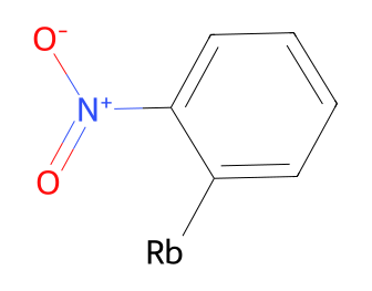 O=[N+]([O-])c1cccc[c]1[Rb]